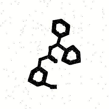 O=C(Cc1cccc(O)c1)OC(c1ccccc1)c1ccccc1